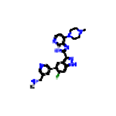 CCNCc1cncc(-c2cc3c(-c4nc5c(N6CCN(C)CC6)ccnc5[nH]4)n[nH]c3cc2F)c1